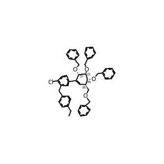 CCc1ccc(Cc2cc(C3=C[C@H](COCc4ccccc4)[C@@H](OCc4ccccc4)[C@H](OCc4ccccc4)[C@H]3OCc3ccccc3)ccc2Cl)cc1